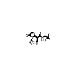 CCN1C(=O)CSC1=C(C#N)C(=O)NCC(F)(F)F